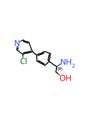 N[C@@H](CO)c1ccc(-c2ccncc2Cl)cc1